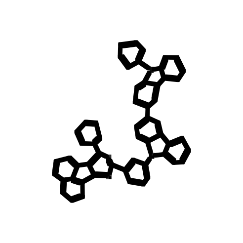 c1ccc(-c2nc(-c3cccc(-n4c5ccccc5c5cc(-c6ccc7c(c6)c6ccccc6n7-c6ccccc6)ccc54)c3)nc3c2-c2cccc4cccc-3c24)cc1